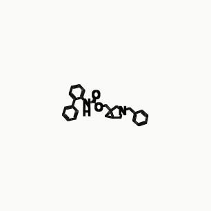 O=C(Nc1ccccc1-c1ccccc1)OCC12CC1CN(Cc1ccccc1)C2